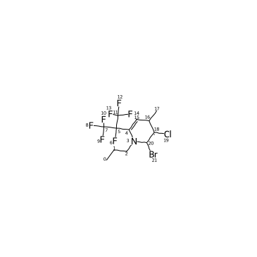 CCCN1C(C(F)(C(F)(F)F)C(F)(F)F)=CC(C)[C](Cl)C1Br